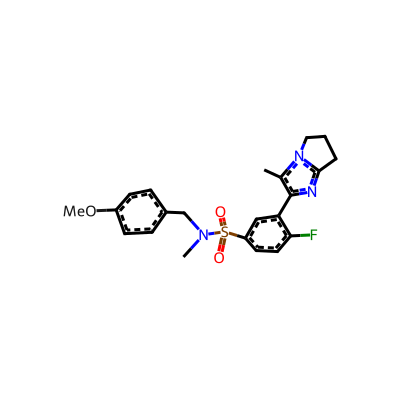 COc1ccc(CN(C)S(=O)(=O)c2ccc(F)c(-c3nc4n(c3C)CCC4)c2)cc1